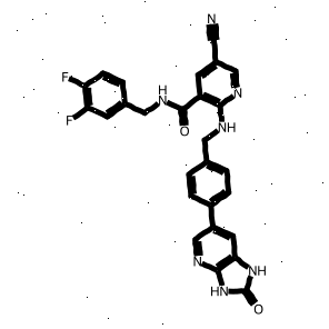 N#Cc1cnc(NCc2ccc(-c3cnc4[nH]c(=O)[nH]c4c3)cc2)c(C(=O)NCc2ccc(F)c(F)c2)c1